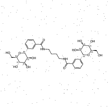 O=C(NCCCCNC(=O)c1cccc([C@H]2O[C@H](CO)[C@@H](O)[C@H](O)[C@@H]2O)c1)c1cccc([C@H]2O[C@H](CO)[C@@H](O)[C@H](O)[C@@H]2O)c1